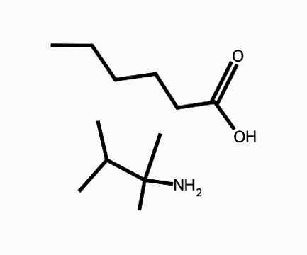 CC(C)C(C)(C)N.CCCCCC(=O)O